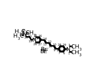 CCN(CC)c1ccc(C=CC=CC=Cc2cc[n+](CCC[N+](C)(C)C)cc2)cc1.[Br-].[Br-]